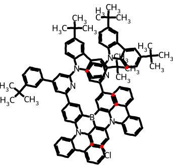 CC(C)(C)c1cccc(-c2cc(-c3ccc4c(c3)B3c5cc(-c6cccc(-n7c8ccc(C(C)(C)C)cc8c8cc(C(C)(C)C)ccc87)n6)ccc5N(c5ccccc5-c5ccccc5)c5cc(Cl)cc(c53)N4c3ccccc3-c3ccccc3)nc(-n3c4ccc(C(C)(C)C)cc4c4cc(C(C)(C)C)ccc43)c2)c1